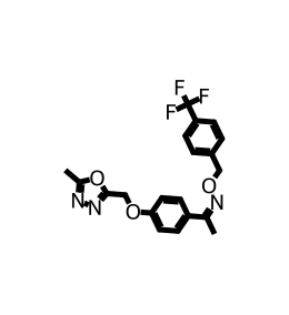 CC(=NOCc1ccc(C(F)(F)F)cc1)c1ccc(OCc2nnc(C)o2)cc1